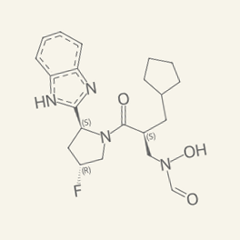 O=CN(O)C[C@H](CC1CCCC1)C(=O)N1C[C@H](F)C[C@H]1c1nc2ccccc2[nH]1